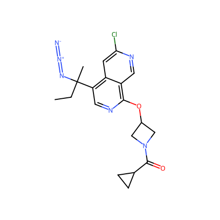 CCC(C)(N=[N+]=[N-])c1cnc(OC2CN(C(=O)C3CC3)C2)c2cnc(Cl)cc12